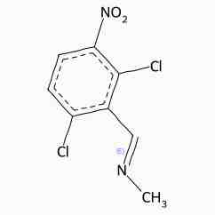 C/N=C/c1c(Cl)ccc([N+](=O)[O-])c1Cl